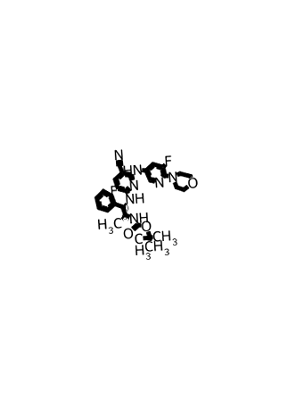 C[C@H](NC(=O)OC(C)(C)C)[C@H](Nc1nc(Nc2cnc(N3CCOCC3)c(F)c2)c(C#N)cc1F)c1ccccc1